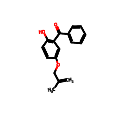 C=C(C)COc1ccc(O)c(C(=O)c2ccccc2)c1